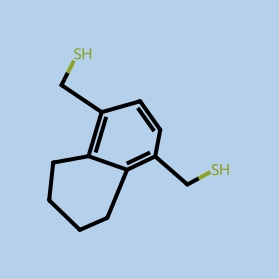 SCc1ccc(CS)c2c1CCCC2